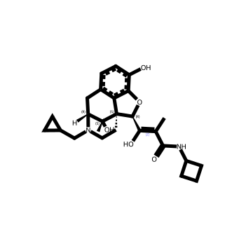 C/C(C(=O)NC1CCC1)=C(/O)[C@@H]1Oc2c(O)ccc3c2[C@@]12CCN(CC1CC1)[C@H](C3)[C@@]2(C)O